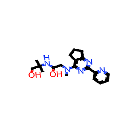 CN(CC(O)NC(C)(C)CO)c1nc(-c2ccccn2)nc2c1CCC2